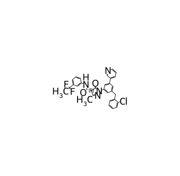 CC1=NN(c2cc(Cc3ccccc3Cl)cc(-c3cccnc3)c2)C(=O)[C@H]1C(=O)Nc1cccc(C(C)(F)F)c1